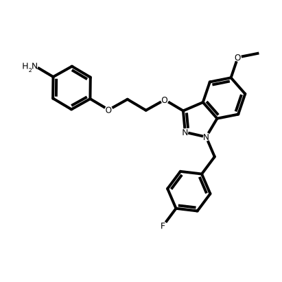 COc1ccc2c(c1)c(OCCOc1ccc(N)cc1)nn2Cc1ccc(F)cc1